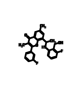 Cc1cc(C(C)Nc2cccc(F)c2CO)c2oc(-c3cccc(F)c3)c(C)c(=O)c2c1